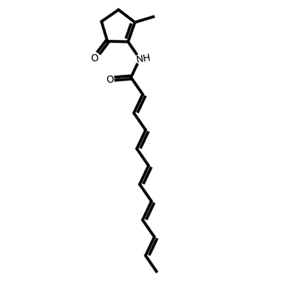 C/C=C/C=C/C=C/C=C/C=C/C(=O)NC1=C(C)CCC1=O